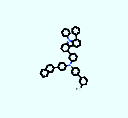 CC1C=C(c2ccc(N(c3ccc(-c4ccc5ccccc5c4)cc3)c3cccc(C4CC=Cc5c4c4cccc(-c6ccccc6)c4n5-c4ccccc4)c3)cc2)C=CC1